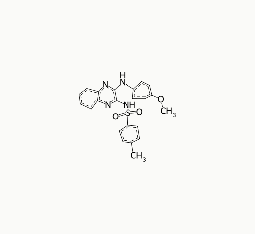 COc1ccc(Nc2nc3ccccc3nc2NS(=O)(=O)c2ccc(C)cc2)cc1